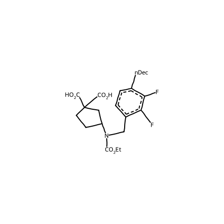 CCCCCCCCCCc1ccc(CN(C(=O)OCC)C2CCC(C(=O)O)(C(=O)O)C2)c(F)c1F